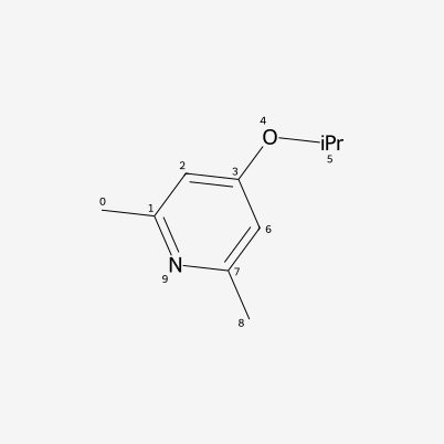 Cc1cc(OC(C)C)cc(C)n1